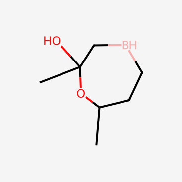 CC1CCBCC(C)(O)O1